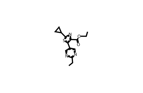 CCOC(=O)c1nc(C2CC2)sc1-c1cnc(CC)nc1